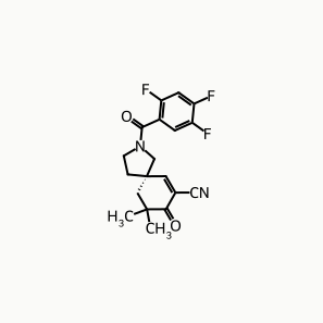 CC1(C)C[C@]2(C=C(C#N)C1=O)CCN(C(=O)c1cc(F)c(F)cc1F)C2